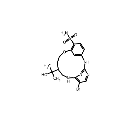 CC(C)(O)C1CCOc2cc(ccc2S(N)(=O)=O)Nc2ncc(Br)c(n2)NC1